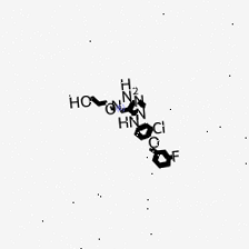 Nc1ncnc(Nc2ccc(OCc3cccc(F)c3)c(Cl)c2)c1/C=N/OCCCO